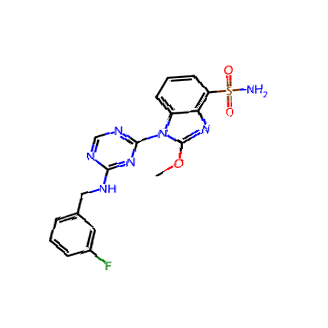 COc1nc2c(S(N)(=O)=O)cccc2n1-c1ncnc(NCc2cccc(F)c2)n1